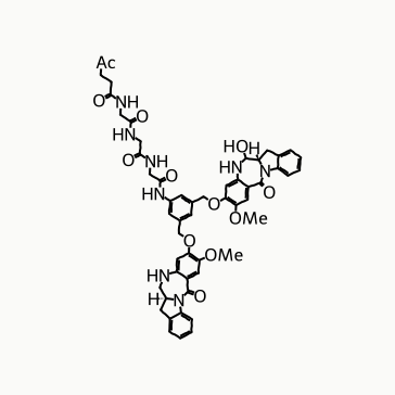 COc1cc2c(cc1OCc1cc(COc3cc4c(cc3OC)C(=O)N3c5ccccc5C[C@H]3C(O)N4)cc(NC(=O)CNC(=O)CNC(=O)CNC(=O)CCC(C)=O)c1)NC[C@@H]1Cc3ccccc3N1C2=O